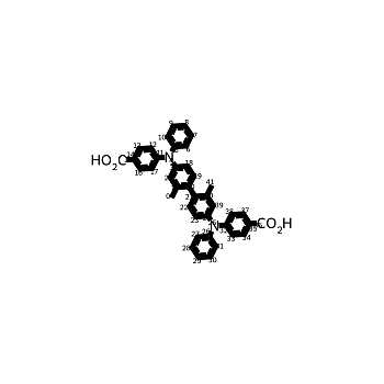 Cc1cc(N(c2ccccc2)c2ccc(C(=O)O)cc2)ccc1-c1ccc(N(c2ccccc2)c2ccc(C(=O)O)cc2)cc1C